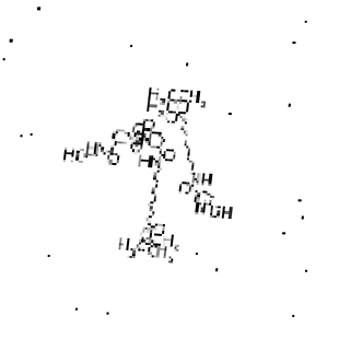 C#CCNC(=O)c1cccc(S(=O)(=O)n2cc(C(=O)NCCCCCCCCC(=O)OC(C)(C)C)ccc2=O)c1.CC(C)(C)OC(=O)CCCCCCCCNC(=O)c1ccc(O)nc1